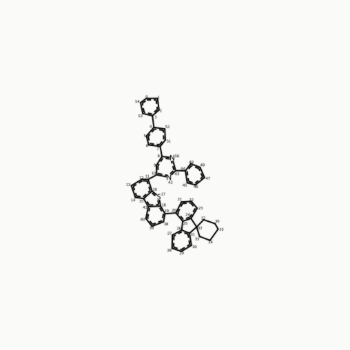 c1ccc(-c2ccc(-c3cc(-c4cccc5c4sc4c(-c6cccc7c6-c6ccccc6C76CCCCC6)cccc45)nc(-c4ccccc4)n3)cc2)cc1